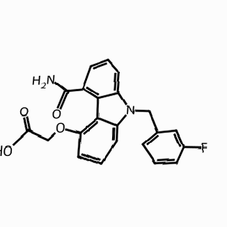 NC(=O)c1cccc2c1c1c(OCC(=O)O)cccc1n2Cc1cccc(F)c1